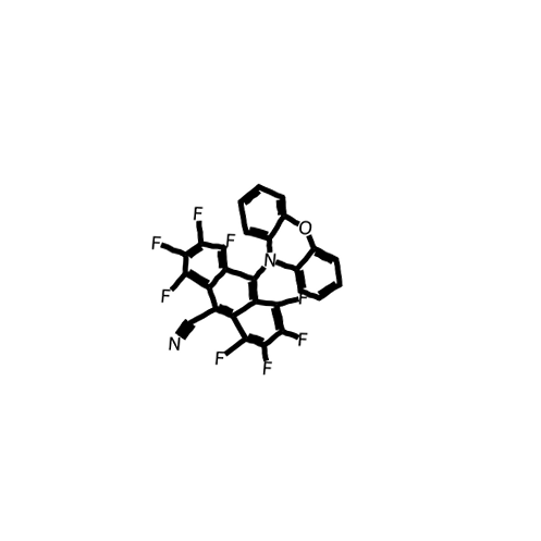 N#Cc1c2c(F)c(F)c(F)c(F)c2c(N2c3ccccc3Oc3ccccc32)c2c(F)c(F)c(F)c(F)c12